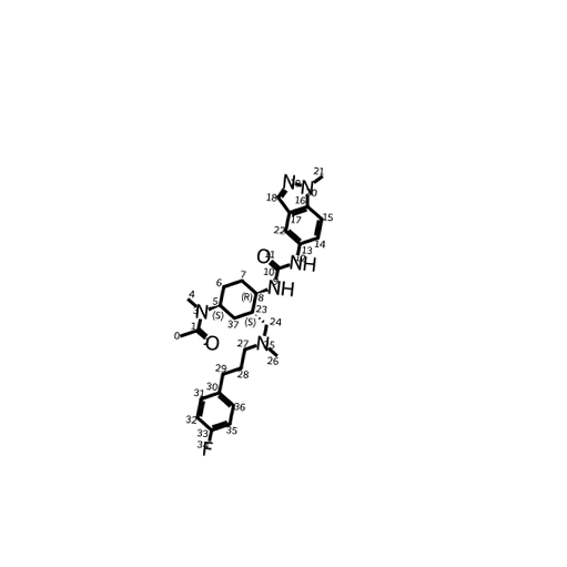 CC(=O)N(C)[C@H]1CC[C@@H](NC(=O)Nc2ccc3c(cnn3C)c2)[C@H](CN(C)CCCc2ccc(F)cc2)C1